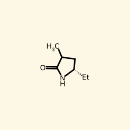 CC[C@H]1CC(C)C(=O)N1